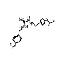 N=C(N/N=C/Cc1ccc(OC(F)F)cc1)N/N=C/Cc1ccc(OC(F)F)cc1